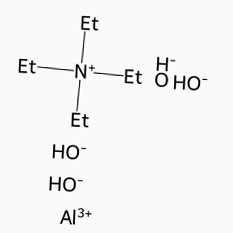 CC[N+](CC)(CC)CC.[Al+3].[OH-].[OH-].[OH-].[OH-]